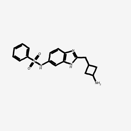 NC1CC(Cc2nc3ccc(NS(=O)(=O)c4ccccc4)cc3[nH]2)C1